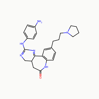 Nc1ccc(NC2=NCC3CC(=O)Nc4ccc(CCCN5CCCC5)cc4C3=N2)cc1